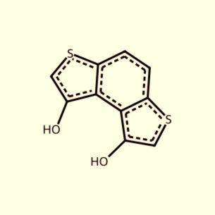 Oc1csc2ccc3scc(O)c3c12